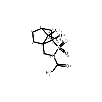 CC(=O)N1CC23CCC(C[C@@H]2S1(=O)=O)C3(C)C